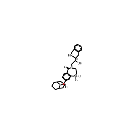 CCN1CCN(CC(O)[C@@H]2Cc3ccccc3CN2)C(=O)c2ccc(C(=O)N3C4CCCC3COC4)cc21.Cl